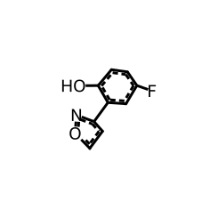 Oc1ccc(F)cc1-c1ccon1